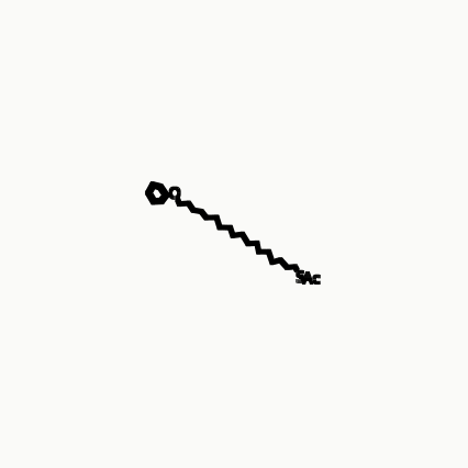 CC(=O)SCCCCCCCCCCCCCCCCCCOc1ccccc1